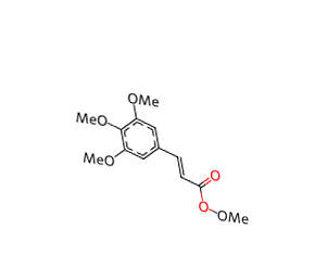 COOC(=O)/C=C/c1cc(OC)c(OC)c(OC)c1